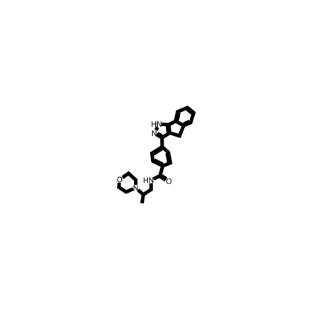 CC(CNC(=O)c1ccc(-c2n[nH]c3c2Cc2ccccc2-3)cc1)N1CCOCC1